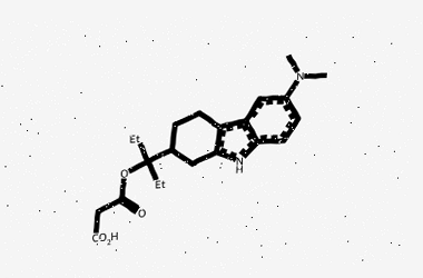 CCC(CC)(OC(=O)CC(=O)O)C1CCc2c([nH]c3ccc(N(C)C)cc23)C1